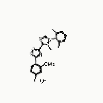 COc1cc(C(=O)O)ccc1-c1noc(-c2ncn(-c3c(C)cccc3C)c2C)n1